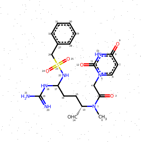 CN(C(=O)Cn1ccc(=O)[nH]c1=O)[C@H](C=O)CCC(NC(=N)N)NS(=O)(=O)Cc1ccccc1